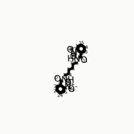 O=C(NCCCCCCNC(=O)c1ccccc1[N+](=O)[O-])c1ccccc1[N+](=O)[O-]